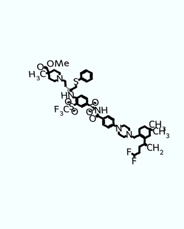 C=C(CCC(F)F)C1=C(CN2CCN(c3ccc(C(=O)NS(=O)(=O)c4ccc(N[C@H](CCN5CCC(C)(C(=O)OC)CC5)CSc5ccccc5)c(S(=O)(=O)C(F)(F)F)c4)cc3)CC2)CCC(C)(C)C1